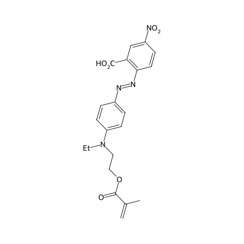 C=C(C)C(=O)OCCN(CC)c1ccc(N=Nc2ccc([N+](=O)[O-])cc2C(=O)O)cc1